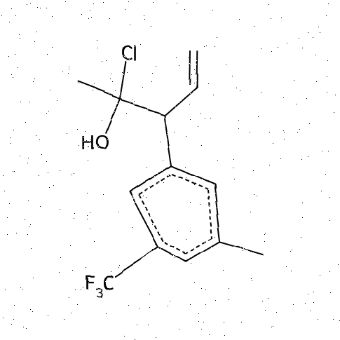 C=CC(c1cc(C)cc(C(F)(F)F)c1)C(C)(O)Cl